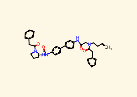 C=CCCN(CC(=O)Nc1ccc(-c2ccc(NC(=O)[C@@H]3CCCN3C(=O)Cc3ccccc3)cc2)cc1)C(=O)Cc1ccccc1